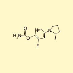 C[C@@H]1CCCN1c1cnc(OC(N)=O)c(F)c1